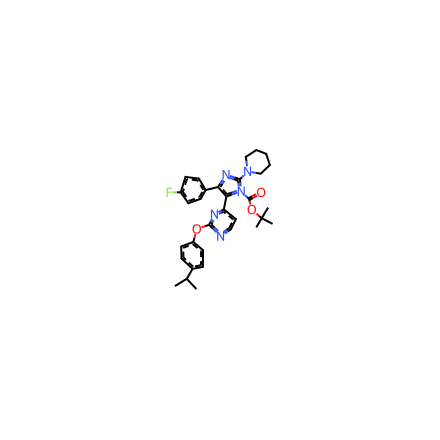 CC(C)c1ccc(Oc2nccc(-c3c(-c4ccc(F)cc4)nc(N4CCCCC4)n3C(=O)OC(C)(C)C)n2)cc1